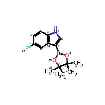 CC1(C)OB(c2c[nH]c3ccc(F)cc23)OC1(C)C